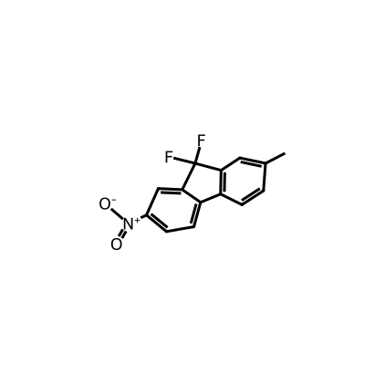 Cc1ccc2c(c1)C(F)(F)c1cc([N+](=O)[O-])ccc1-2